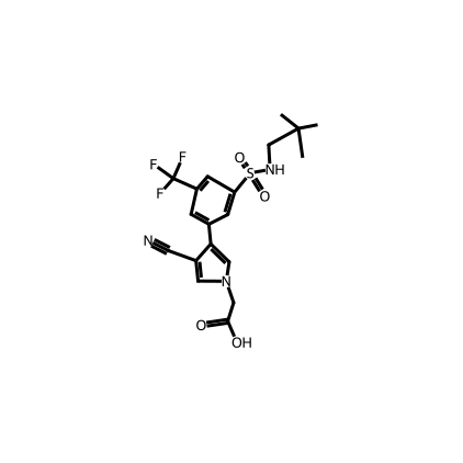 CC(C)(C)CNS(=O)(=O)c1cc(-c2cn(CC(=O)O)cc2C#N)cc(C(F)(F)F)c1